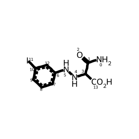 NC(=O)C(NNc1cccc(I)c1)C(=O)O